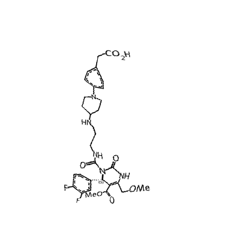 COCC1=C(C(=O)OC)[C@H](c2ccc(F)c(F)c2)N(C(=O)NCCNC2CCN(c3ccc(CC(=O)O)cc3)CC2)C(=O)N1